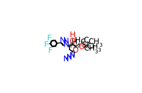 CC(C)(C)[Si](C)(C)OC[C@H]1O[C@@H](N=[N+]=[N-])C[C@@H](n2cc(-c3cc(F)c(F)c(F)c3)nn2)[C@@H]1O